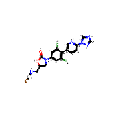 O=C1OC(CN=C=S)CN1c1cc(F)c(-c2ccc(-n3cncn3)nc2)c(F)c1